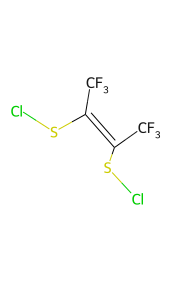 FC(F)(F)/C(SCl)=C(/SCl)C(F)(F)F